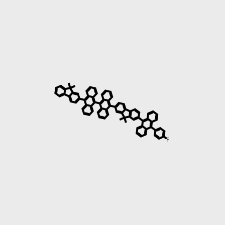 CC1(C)c2ccccc2-c2ccc(-c3c4ccccc4c(-c4c5ccccc5c(-c5ccc6c(c5)C(C)(C)c5cc(-c7c8ccccc8c(-c8ccc(F)cc8)c8ccccc78)ccc5-6)c5ccccc45)c4ccccc34)cc21